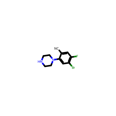 N#Cc1cc(F)c(Br)cc1N1CCNCC1